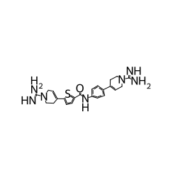 N=C(N)N1CC=C(c2ccc(NC(=O)c3ccc(C4=CCN(C(=N)N)CC4)s3)cc2)CC1